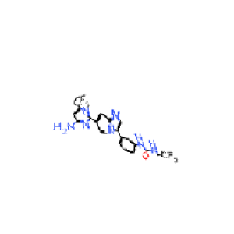 Nc1cc(C(F)(F)F)nc(-c2ccn3c(-c4cccc(NC(=O)NCC(F)(F)F)c4)cnc3c2)n1